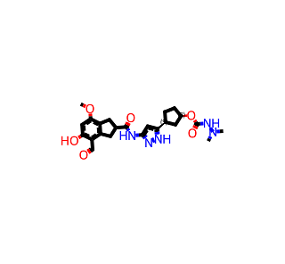 COc1cc(O)c(C=O)c2c1CC(C(=O)Nc1cc([C@H]3CC[C@@H](OC(=O)NN(C)C)C3)[nH]n1)C2